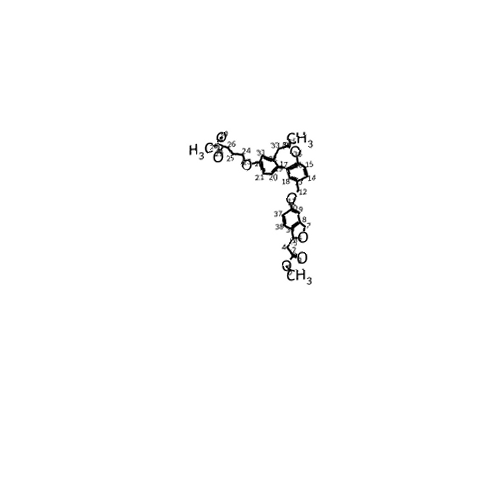 COC(=O)C[C@@H]1OCc2cc(OCc3ccc4c(c3)-c3ccc(OCCCS(C)(=O)=O)cc3C[C@@H](C)O4)ccc21